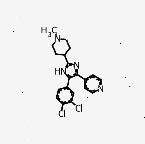 CN1CCC(c2nc(-c3ccncc3)c(-c3ccc(Cl)c(Cl)c3)[nH]2)CC1